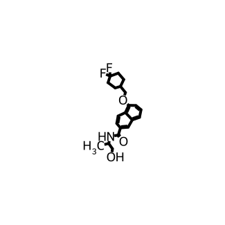 CC(CO)NC(=O)c1ccc2c(OCC3CCC(F)(F)CC3)cccc2c1